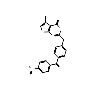 Cc1csc2nc(Cc3ccc(C(=O)c4ccc([N+](=O)[O-])cc4)cc3)oc(=O)c12